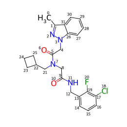 Cc1nn(CC(=O)N(CC(=O)NCc2cccc(Cl)c2F)CC2CCC2)c2ccccc12